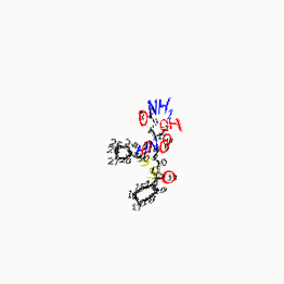 NC(=O)CCC(NC(=O)C(CSC(=O)c1ccccc1)SC(=O)c1ccccc1)C(=O)O